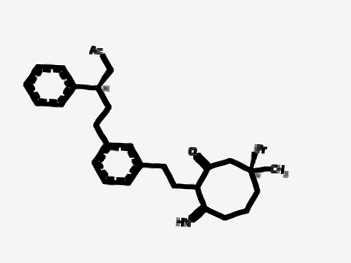 CC(=O)C[C@@H](CCc1cccc(CCC2C(=N)CCC[C@](C)(C(C)C)CC2=O)c1)c1ccccc1